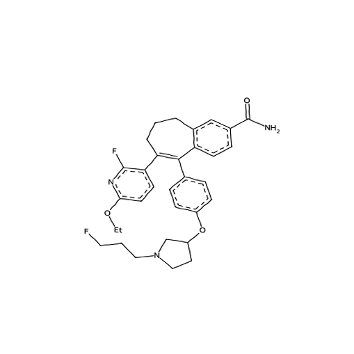 CCOc1ccc(C2=C(c3ccc(OC4CCN(CCCF)C4)cc3)c3ccc(C(N)=O)cc3CCC2)c(F)n1